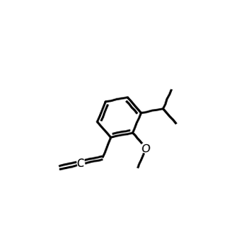 C=C=Cc1cccc(C(C)C)c1OC